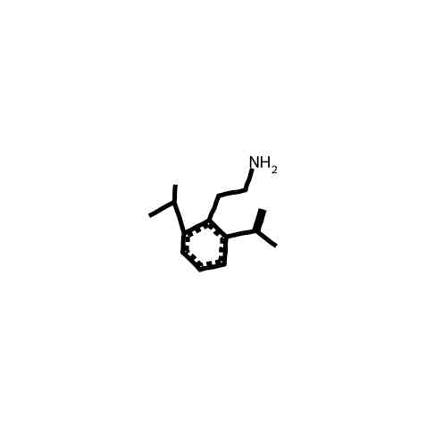 C=C(C)c1cccc(C(C)C)c1CCN